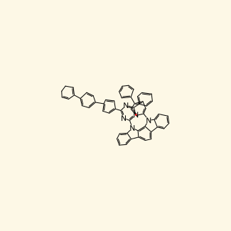 C1=CC(c2ccc(-c3ccc(-c4nc(-c5ccccc5)nc(-n5c6ccccc6c6ccc7c8ccccc8n(-c8ccc(-c9ccccc9)cc8)c7c65)n4)cc3)cc2)=CCC1